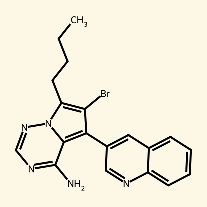 CCCCc1c(Br)c(-c2cnc3ccccc3c2)c2c(N)ncnn12